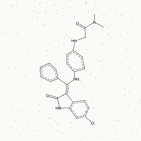 CN(C)C(=O)CNc1ccc(NC(=C2C(=O)Nc3cc(Cl)ccc32)c2ccccc2)cc1